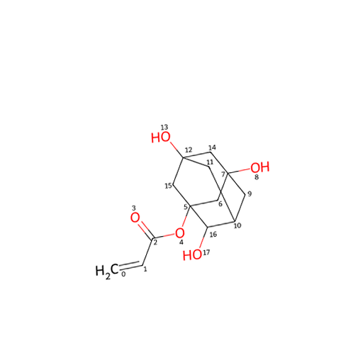 C=CC(=O)OC12CC3(O)CC(CC(O)(C3)C1)C2O